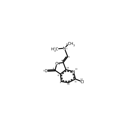 CN(C)C=C1OC(=O)c2ccc(Cl)nc21